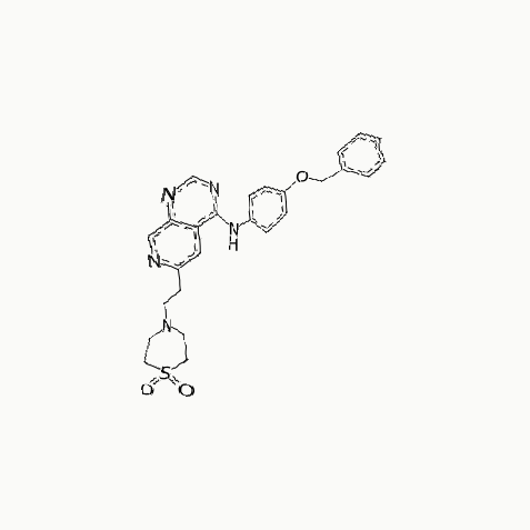 O=S1(=O)CCN(CCc2cc3c(Nc4ccc(OCc5ccccc5)cc4)ncnc3cn2)CC1